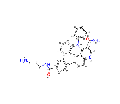 NCCCNC(=O)c1ccc(-c2ccc3ncc(C(N)=O)c(N(c4ccccc4)c4ccccc4)c3c2)cc1